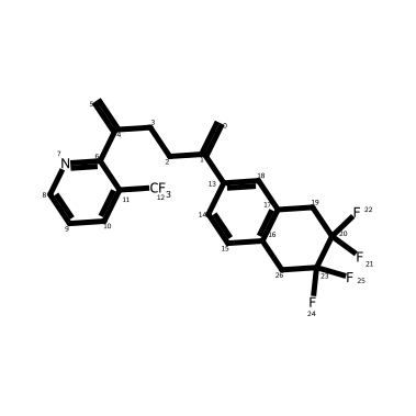 C=C(CCC(=C)c1ncccc1C(F)(F)F)c1ccc2c(c1)CC(F)(F)C(F)(F)C2